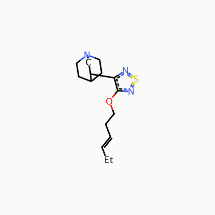 CCC=CCCOc1nsnc1C1CN2CCC1CC2